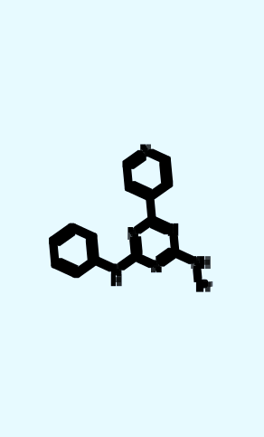 CC(C)Nc1nc(Nc2ccccc2)nc(-c2ccncc2)n1